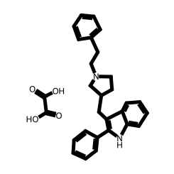 O=C(O)C(=O)O.c1ccc(CCN2CCC(Cc3c(-c4ccccc4)[nH]c4ccccc34)C2)cc1